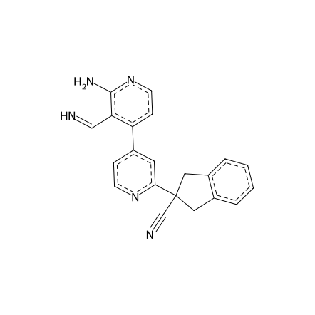 N#CC1(c2cc(-c3ccnc(N)c3C=N)ccn2)Cc2ccccc2C1